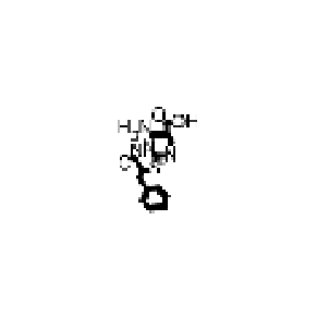 NC(=O)C(Cc1ccccc1)Sc1ncc(C(=O)O)c(N)n1